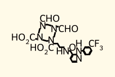 O=CCN1CCN(CC=O)CCN(C(CCCNC(=O)c2cccnc2Nc2cccc(C(F)(F)F)c2)C(=O)O)CCN(CC(=O)O)CC1